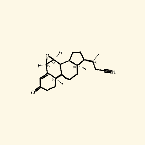 C[C@H](CC#N)C1CCC2C3C(CC[C@@]21C)[C@@]1(C)CCC(=O)C=C1[C@H]1O[C@@H]31